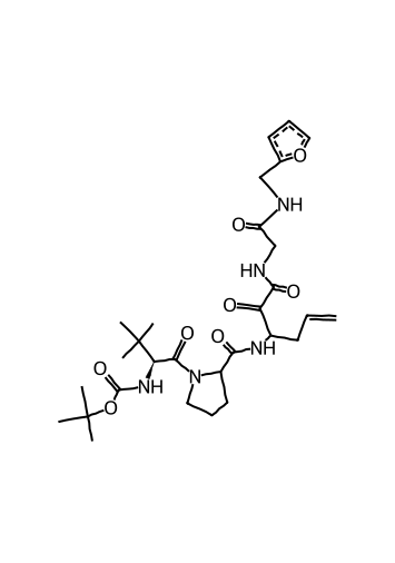 C=CCC(NC(=O)C1CCCN1C(=O)[C@@H](NC(=O)OC(C)(C)C)C(C)(C)C)C(=O)C(=O)NCC(=O)NCc1ccco1